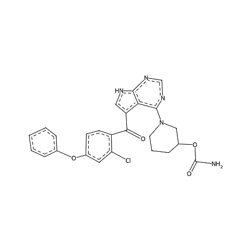 NC(=O)OC1CCCN(c2ncnc3[nH]cc(C(=O)c4ccc(Oc5ccccc5)cc4Cl)c23)C1